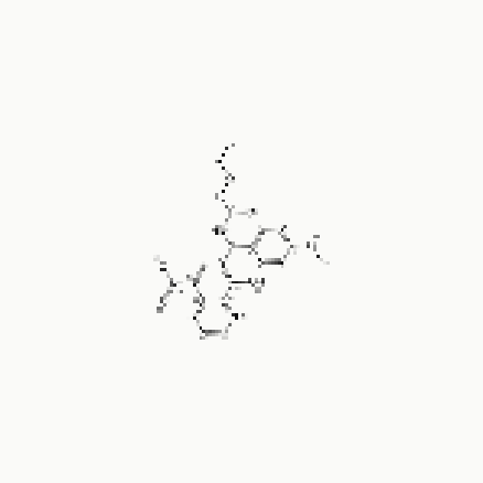 CCOCC(=O)NC(c1ccc(OC)cc1)c1cc([N+](=O)[O-])c2cccnc2c1O